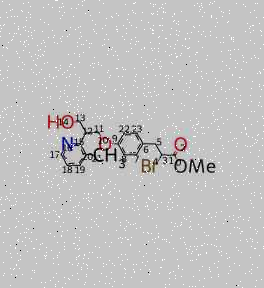 COC(=O)C(Br)Cc1ccc(OCC(CO)c2ncccc2C)cc1